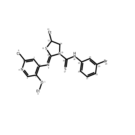 CCOc1cnc(Cl)cc1N=C1SC(CC)CN1C(=S)Nc1cccc(Br)c1